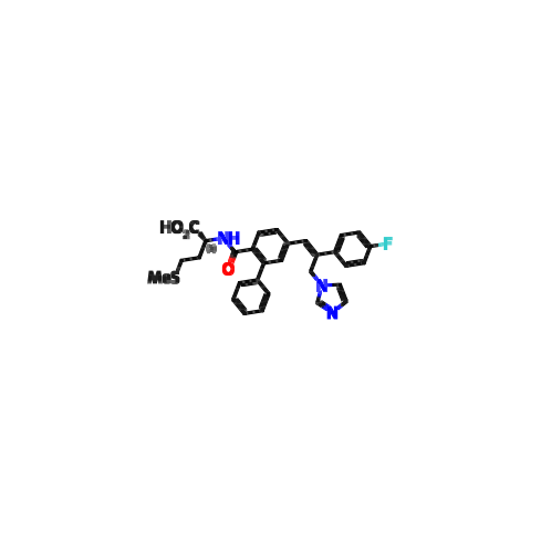 CSCC[C@H](NC(=O)c1ccc(C=C(Cn2ccnc2)c2ccc(F)cc2)cc1-c1ccccc1)C(=O)O